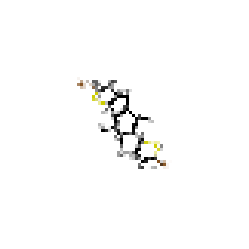 Cc1c2c(c(C)c3c1-c1sc(Br)cc1C3)-c1sc(Br)cc1C2